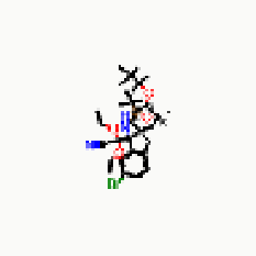 CCOC(C#N)(OCC)[C@]1(N[S@@+]([O-])C(C)(C)C)c2cc(Br)ccc2C[C@@]12C[C@@H](C)[C@H](OC(C)(C)C(C)(C)C)[C@@H](C)C2